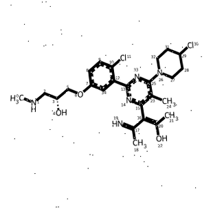 CNC[C@@H](O)COc1ccc(Cl)c(-c2nc(/C(C(C)=N)=C(\C)O)c(C)c(N3CCC(Cl)CC3)n2)c1